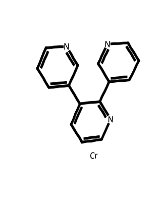 [Cr].c1cncc(-c2cccnc2-c2cccnc2)c1